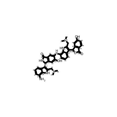 CN(C)Cc1[nH]c2c(Nc3cc4c(cc3O)[C@@H](c3c(CN(C)C)[nH]c5c(N)cccc35)NC4=O)cccc2c1C1OC(=O)c2ccc(O)cc21